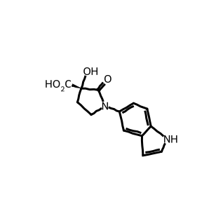 O=C(O)[C@]1(O)CCN(c2ccc3[nH]ccc3c2)C1=O